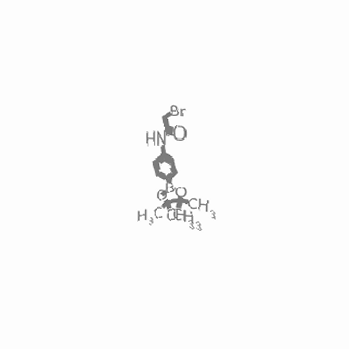 CC1(C)OB(c2ccc(NC(=O)CBr)cc2)OC1(C)C